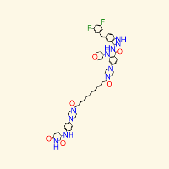 O=C1CCC(Nc2ccc(N3CCN(C(=O)CCCCCCCCCCC(=O)N4CCN(c5ccc(C(=O)Nc6n[nH]c7ccc(Cc8cc(F)cc(F)c8)cc67)c(NC6CCOCC6)c5)CC4)CC3)cc2)C(=O)N1